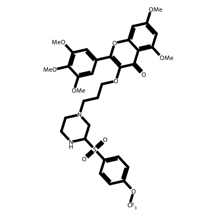 COc1cc(OC)c2c(=O)c(OCCCN3CCNC(S(=O)(=O)c4ccc(OC(F)(F)F)cc4)C3)c(-c3cc(OC)c(OC)c(OC)c3)oc2c1